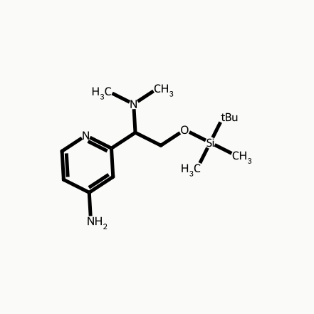 CN(C)C(CO[Si](C)(C)C(C)(C)C)c1cc(N)ccn1